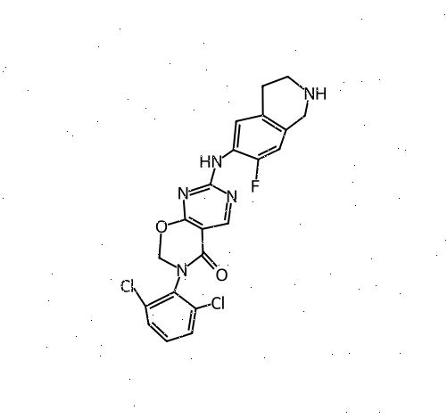 O=C1c2cnc(Nc3cc4c(cc3F)CNCC4)nc2OCN1c1c(Cl)cccc1Cl